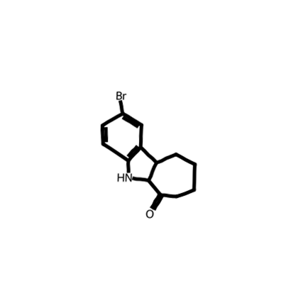 O=C1CCCCC2c3cc(Br)ccc3NC12